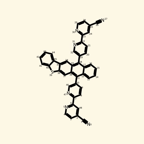 N#Cc1ccnc(-c2ccc(-c3c4ccccc4c(-c4ccc(-c5cc(C#N)ccn5)nc4)c4cc5c(cc34)sc3ccccc35)cn2)c1